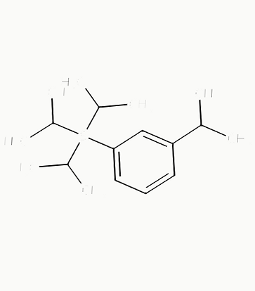 CC(C)c1cccc(S(C(C)C)(C(C)C)C(C)C)c1